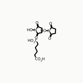 O=C(O)CCCCC(=O)O.O=C1CCC(=O)N1O.O=C1CCC(=O)N1O